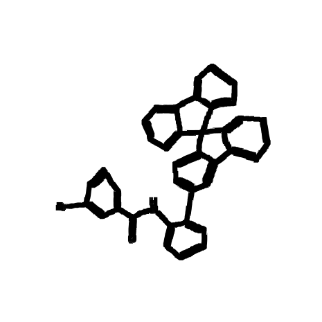 O=C(Nc1ccccc1-c1ccc2c(c1)-c1ccccc1C21c2ccccc2-c2ccccc21)c1cccc(Br)c1